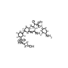 CCCN(OCc1ccc(N)cc1)C(=O)C1=Cc2ccc(-c3cccc(S(=O)(=O)NC4CC(O)C4)c3)cc2N=C(N)C1